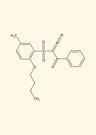 CCCCOc1ccc(C)cc1S(=O)(=O)C(=[N+]=[N-])C(=O)c1ccccc1